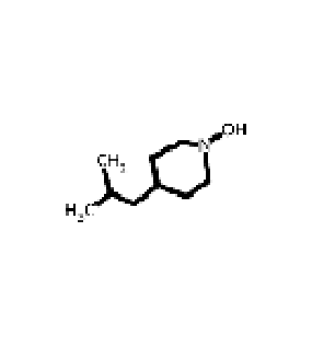 CC(C)CC1CCN(O)CC1